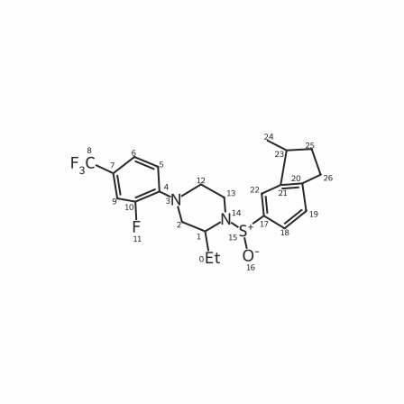 CCC1CN(c2ccc(C(F)(F)F)cc2F)CCN1[S+]([O-])c1ccc2c(c1)C(C)CC2